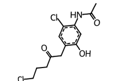 CC(=O)Nc1cc(O)c(CC(=O)CCCCl)cc1Cl